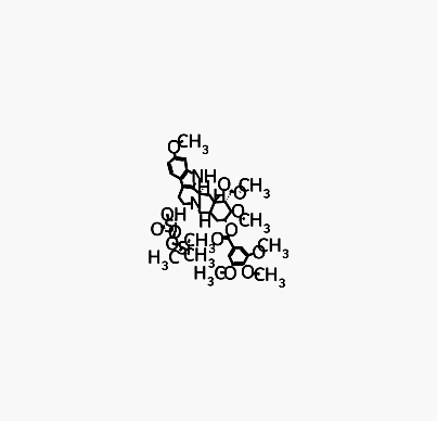 COC(=O)[C@H]1[C@H]2C[C@@H]3c4[nH]c5cc(OC)ccc5c4CCN3C[C@H]2C[C@@H](OC(=O)c2cc(OC)c(OC)c(OC)c2)[C@@H]1OC.C[Si](C)(C)OO[Si](=O)O